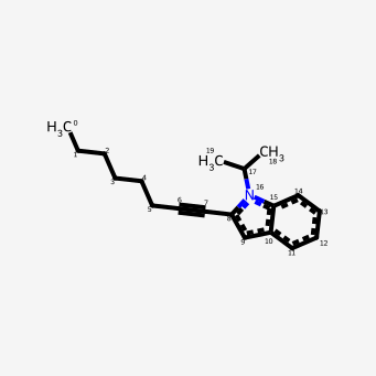 CCCCCCC#Cc1cc2ccccc2n1C(C)C